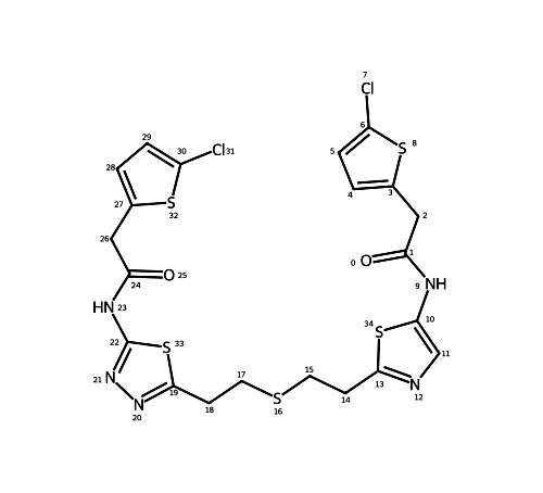 O=C(Cc1ccc(Cl)s1)Nc1cnc(CCSCCc2nnc(NC(=O)Cc3ccc(Cl)s3)s2)s1